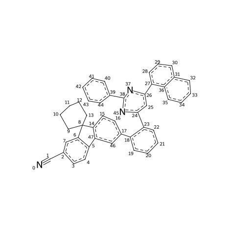 N#Cc1ccc2c(c1)C1(CCCCC1)c1ccc(-c3ccccc3-c3cc(-c4cccc5ccccc45)nc(-c4ccccc4)n3)cc1-2